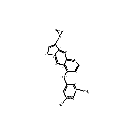 Cc1cc(C#N)cc(Nc2ccnc3cc4c(C5CC5)csc4cc23)c1